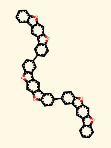 c1ccc2c(c1)oc1cc3oc4ccc(-c5ccc6oc7cc8oc9ccc(-c%10ccc%11oc%12cc%13oc%14ccccc%14c%13cc%12c%11c%10)cc9c8cc7c6c5)cc4c3cc12